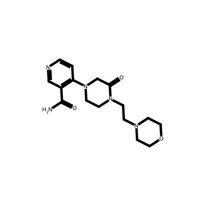 NC(=O)c1cnccc1N1CCN(CCN2CCOCC2)C(=O)C1